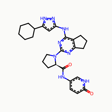 O=C(Nc1ccc(=O)[nH]c1)[C@H]1CCCN1c1nc2c(c(Nc3cc(C4CCCCC4)[nH]n3)n1)CCC2